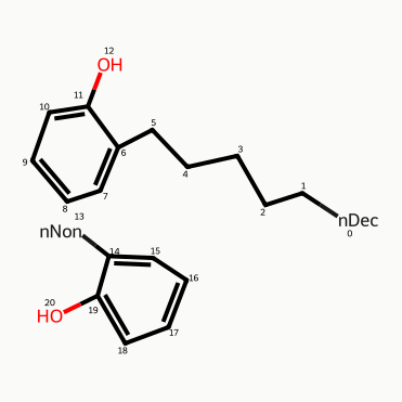 CCCCCCCCCCCCCCCc1ccccc1O.CCCCCCCCCc1ccccc1O